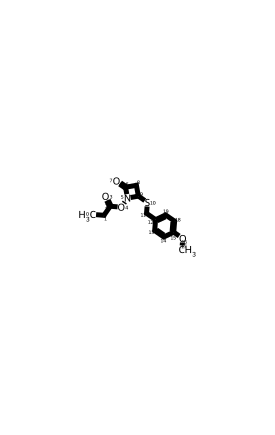 CCC(=O)ON1C(=O)CC1SCc1ccc(OC)cc1